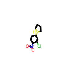 O=[N+]([O-])c1ccc([SH]2C=CC=C2)cc1Cl